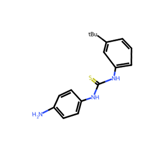 CC(C)(C)c1cccc(NC(=S)Nc2ccc(N)cc2)c1